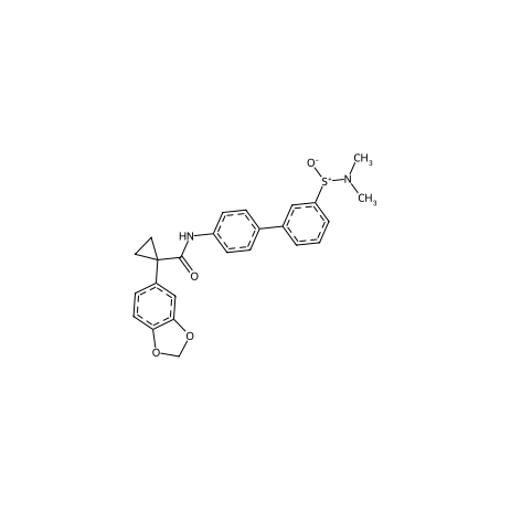 CN(C)[S+]([O-])c1cccc(-c2ccc(NC(=O)C3(c4ccc5c(c4)OCO5)CC3)cc2)c1